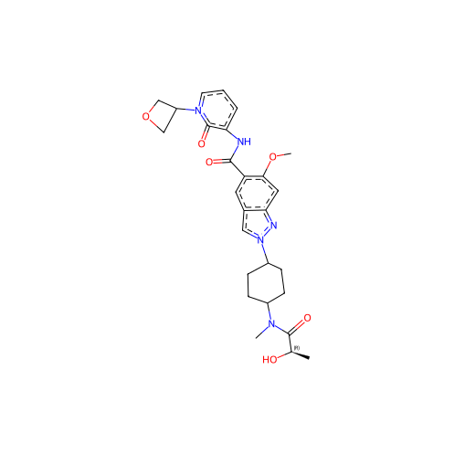 COc1cc2nn(C3CCC(N(C)C(=O)[C@@H](C)O)CC3)cc2cc1C(=O)Nc1cccn(C2COC2)c1=O